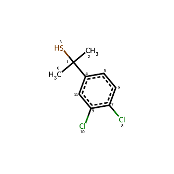 CC(C)(S)c1ccc(Cl)c(Cl)c1